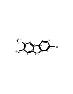 Cc1cc2c(cc1O)sc1cc(I)ccc12